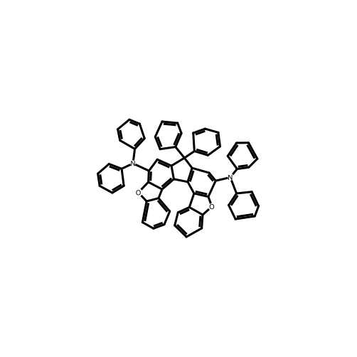 c1ccc(N(c2ccccc2)c2cc3c(c4c2oc2ccccc24)-c2c(cc(N(c4ccccc4)c4ccccc4)c4oc5ccccc5c24)C3(c2ccccc2)c2ccccc2)cc1